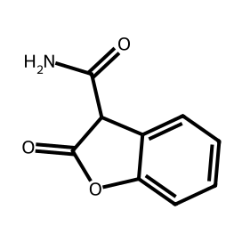 NC(=O)C1C(=O)Oc2ccccc21